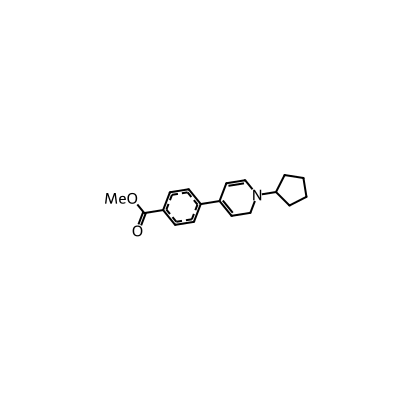 COC(=O)c1ccc(C2=CCN(C3CCCC3)C=C2)cc1